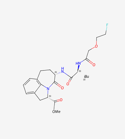 CC[C@H](C)[C@H](NC(=O)COCCF)C(=O)N[C@H]1CCc2cccc3c2N(C1=O)[C@H](C(=O)OC)C3